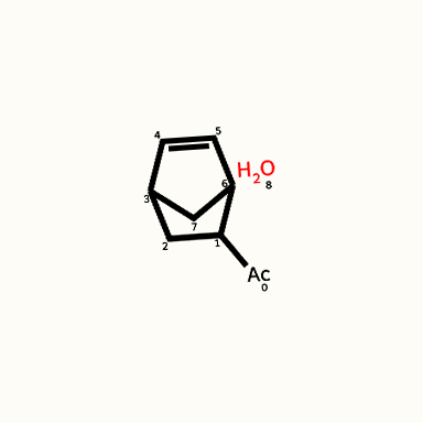 CC(=O)C1CC2C=CC1C2.O